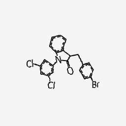 O=C1C(Cc2ccc(Br)cc2)c2ccccc2N1c1cc(Cl)cc(Cl)c1